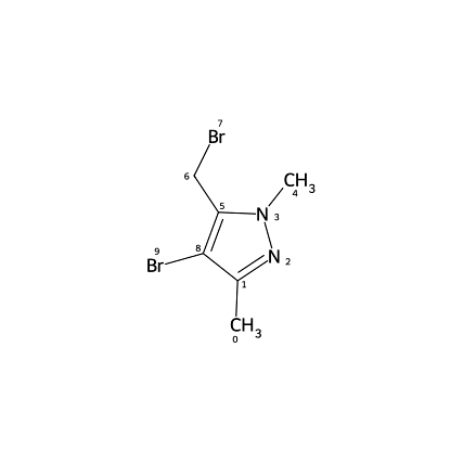 Cc1nn(C)c(CBr)c1Br